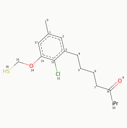 Cc1cc(CCCCC(=O)C(C)C)c(Cl)c(OCS)c1